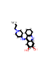 N#CCCN1CCC(Nc2c3c(nc4cc(O)c(O)cc24)CCCC3)CC1